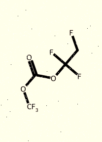 O=C(OC(F)(F)F)OC(F)(F)CF